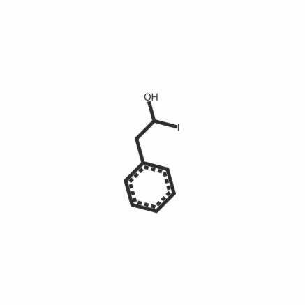 OC(I)Cc1ccccc1